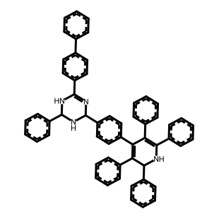 c1ccc(C2=C(c3ccccc3)C(c3ccc(C4N=C(c5ccc(-c6ccccc6)cc5)NC(c5ccccc5)N4)cc3)=C(c3ccccc3)C(c3ccccc3)N2)cc1